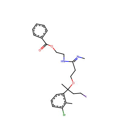 C/N=C(\CCOC(C)(CCI)c1cccc(Br)c1C)NCCOC(=O)c1ccccc1